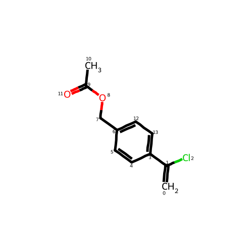 C=C(Cl)c1ccc(COC(C)=O)cc1